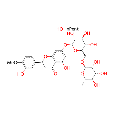 CCCCCO.COc1ccc([C@@H]2CC(=O)c3c(O)cc(O[C@@H]4O[C@H](CO[C@@H]5O[C@@H](C)[C@H](O)[C@@H](O)[C@H]5O)[C@@H](O)[C@H](O)[C@H]4O)cc3O2)cc1O